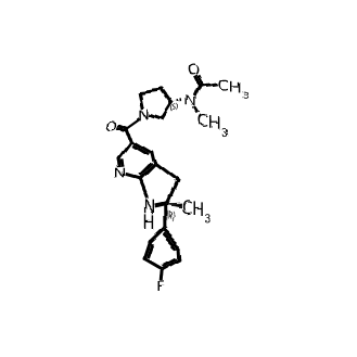 CC(=O)N(C)[C@H]1CCN(C(=O)c2cnc3c(c2)C[C@](C)(c2ccc(F)cc2)N3)C1